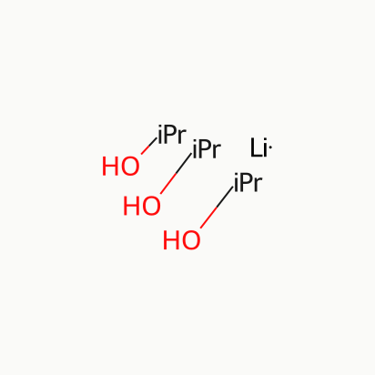 CC(C)O.CC(C)O.CC(C)O.[Li]